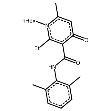 CCCCCCn1c(C)cc(=O)c(C(=O)Nc2c(C)cccc2C)c1CC